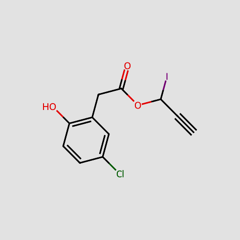 C#CC(I)OC(=O)Cc1cc(Cl)ccc1O